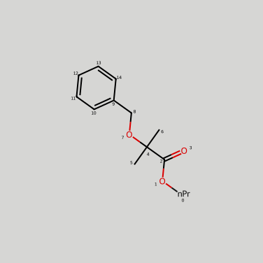 CCCOC(=O)C(C)(C)OCc1ccccc1